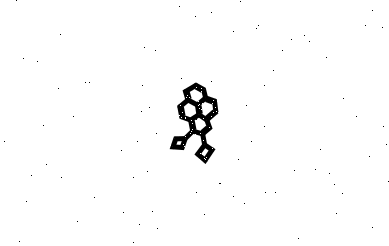 c1cc2ccc3cc(C4CCC4)c(C4CCC4)c4ccc(c1)c2c34